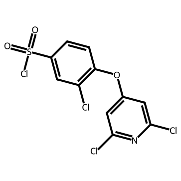 O=S(=O)(Cl)c1ccc(Oc2cc(Cl)nc(Cl)c2)c(Cl)c1